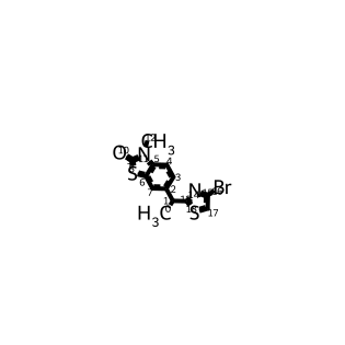 CC(c1ccc2c(c1)sc(=O)n2C)c1nc(Br)cs1